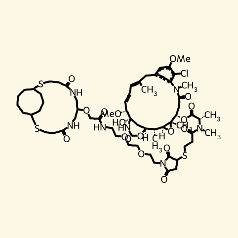 COc1cc2cc(c1Cl)N(C)C(=O)C[C@H](OC(=O)[C@H](C)N(C)C(=O)CCSC1CC(=O)N(CCOCCOCCNC(=O)COC3CNC(=O)CCSC4CCCCC(CCC4)SCCC(=O)NC3)C1=O)[C@]1(C)O[C@H]1[C@H](C)[C@@H]1C[C@@](O)(NC(=O)O1)[C@H](OC)/C=C/C=C(\C)C2